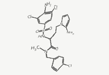 CN(Cc1ccc(Cl)cc1)C(=O)C(CCn1cccc1N)NS(=O)(=O)c1cc(Cl)c(N)c(Cl)c1